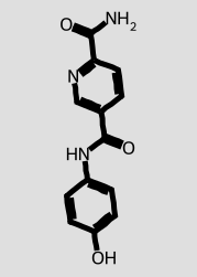 NC(=O)c1ccc(C(=O)Nc2ccc(O)cc2)cn1